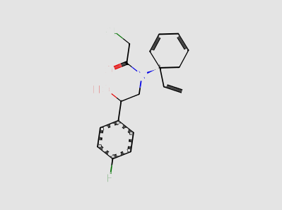 C=C[C@]1(N(CC(O)c2ccc(F)cc2)C(=O)CCl)C=CC=CC1